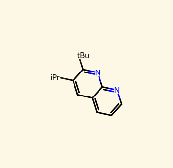 CC(C)c1cc2cccnc2nc1C(C)(C)C